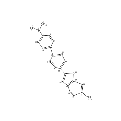 CN(C)c1ccc(-c2ncc(-c3nc4ccc(N)cc4s3)cn2)cn1